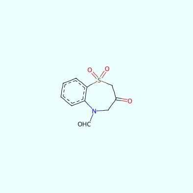 O=CN1CC(=O)CS(=O)(=O)c2ccccc21